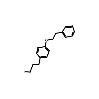 ICCCc1ccc(OCCc2ccccc2)cc1